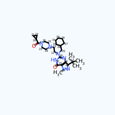 Cn1nc(C(C)(C)C)c2nc(N(CCN3CCN(C(=O)C4CC4)CC3)CC3CCCCC3)[nH]c(=O)c21